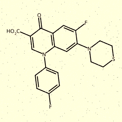 O=C(O)c1cn(-c2ccc(F)cc2)c2cc(N3CCSCC3)c(F)cc2c1=O